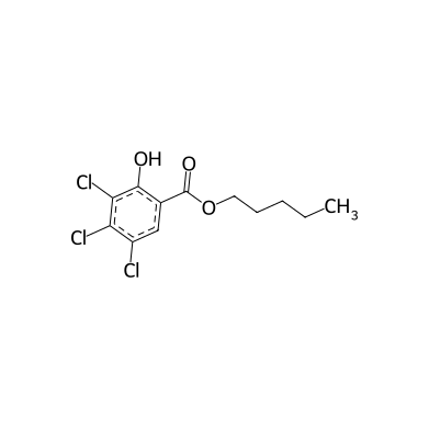 CCCCCOC(=O)c1cc(Cl)c(Cl)c(Cl)c1O